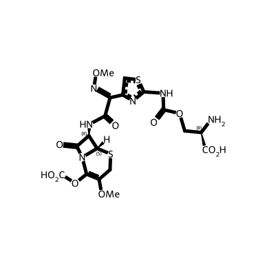 CON=C(C(=O)N[C@@H]1C(=O)N2C(OC(=O)O)=C(OC)CS[C@@H]12)c1csc(NC(=O)OC[C@@H](N)C(=O)O)n1